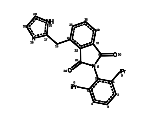 CC(C)c1cccc(C(C)C)c1N1C(=O)c2cccc(Cc3ncc[nH]3)c2C1=O